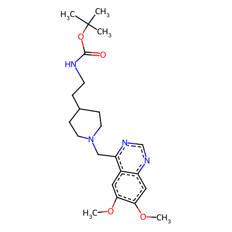 COc1cc2ncnc(CN3CCC(CCNC(=O)OC(C)(C)C)CC3)c2cc1OC